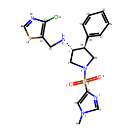 Cn1cnc(S(=O)(=O)N2C[C@H](NCc3scnc3Cl)[C@@H](c3ccccc3)C2)c1